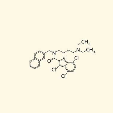 CCN(CC)CCCCN(Cc1ccc2ccccc2c1)C(=O)c1sc2c(Cl)ccc(Cl)c2c1Cl